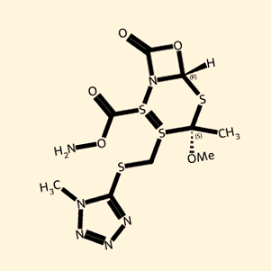 CO[C@@]1(C)S[C@H]2OC(=O)N2S(C(=O)ON)=S1CSc1nnnn1C